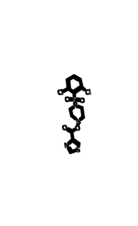 O=C(ON1CCN(S(=O)(=O)c2c(Cl)cccc2Cl)CC1)c1cscn1